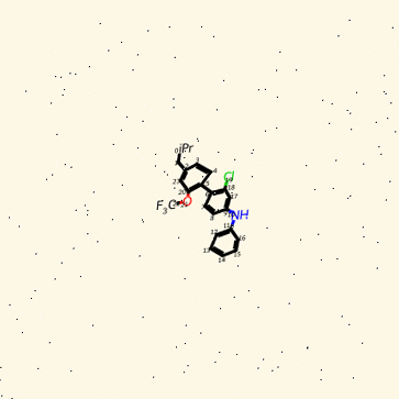 CC(C)Cc1ccc(-c2ccc(Nc3ccccc3)cc2Cl)c(OC(F)(F)F)c1